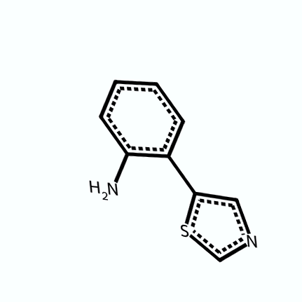 Nc1ccccc1-c1cncs1